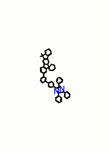 CC1(C)C2=C(CC3C(=C2)c2ccc(-c4cccc(-c5ccc(-c6nc(-c7ccccc7)c(-c7ccccc7)nc6-c6ccccc6)cc5)c4)cc2C32CCCCC2)c2ccccc21